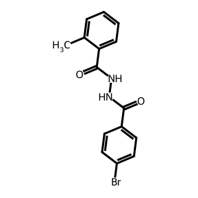 Cc1ccccc1C(=O)NNC(=O)c1ccc(Br)cc1